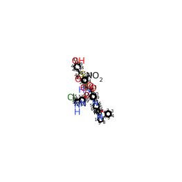 CC(C)c1ccccc1[C@@H]1CCCN1C1CC2(CCN(c3ccc(C(=O)NS(=O)(=O)c4cc5c(c([N+](=O)[O-])c4)S[C@@H]([C@H]4CC[C@H](O)CC4)CO5)c(Oc4cnc5[nH]cc(Cl)c5c4)c3)CC2)C1